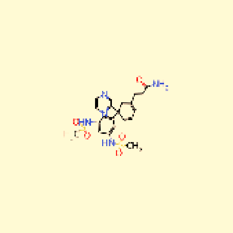 CS(=O)(=O)Nc1cc(NS(C)(=O)=O)cc(C2(c3cnccn3)C=CC=C(CCC(N)=O)C2)c1